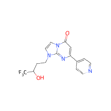 O=c1cc(-c2ccncc2)nc2n(CCC(O)C(F)(F)F)ccn12